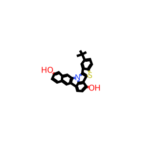 CC(C)(C)c1ccc2sc3c4c(O)ccc5c6cc7ccc(O)cc7cc6n(c3c2c1)c54